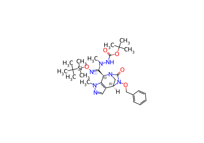 CN(NC(=O)OC(C)(C)C)/C(=N\O[Si](C)(C)C(C)(C)C)[C@@H]1c2c(cnn2C)[C@H]2CN1C(=O)N2OCc1ccccc1